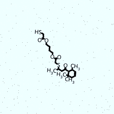 CC(CC(=O)C1C(C)C=CCC1(C)C)SCC(=O)OCCCCOC(=O)CS